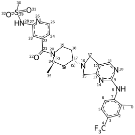 Cc1cc(C(F)(F)F)ccc1Nc1ncc2c(n1)CN([C@H]1CCN(C(=O)c3ccnc(NS(C)(=O)=O)c3)[C@H](C)C1)C2